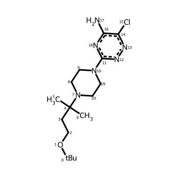 CC(C)(C)OCCC(C)(C)N1CCN(c2nnc(Cl)c(N)n2)CC1